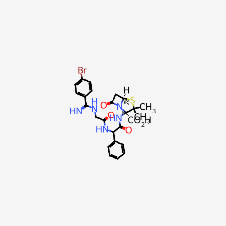 CC1(C)S[C@@H]2CC(=O)N2[C@@]1(NC(=O)C(NC(=O)CNC(=N)c1ccc(Br)cc1)c1ccccc1)C(=O)O